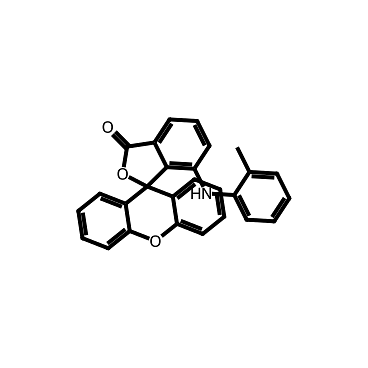 Cc1ccccc1Nc1cccc2c1C1(OC2=O)c2ccccc2Oc2ccccc21